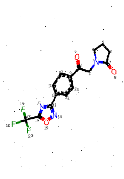 O=C(CN1CCCC1=O)c1ccc(-c2noc(C(F)(F)F)n2)cc1